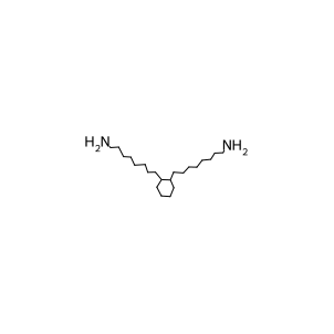 NCCCCCCCCC1CCCCC1CCCCCCCCN